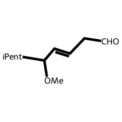 CCCC(C)C(C=CCC=O)OC